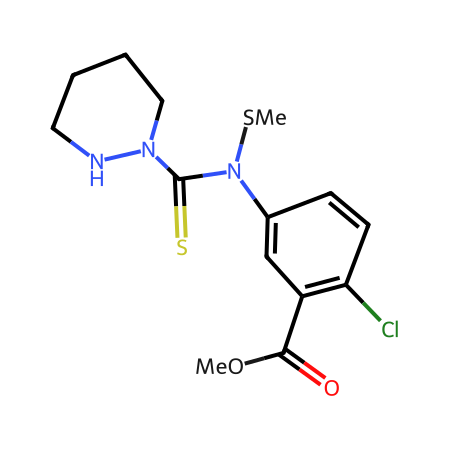 COC(=O)c1cc(N(SC)C(=S)N2CCCCN2)ccc1Cl